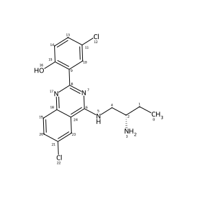 CC[C@H](N)CNc1nc(-c2cc(Cl)ccc2O)nc2ccc(Cl)cc12